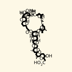 C=C1CC2CC[C@@]34OC5CC(OC6CCC(CC(=O)OC7[C@H](C[C@H]8OC(CC[C@@H]1O2)C[C@@H](C)C8=C)O[C@H]1C[C@H]2O[C@@]8(CC9OC%10(C[C@H](C)C%11OC(CC(=O)O)[C@H](O)CC%11O%10)C[C@H](C)C9O8)C[C@H]2O[C@H]1[C@@H]7C)O[C@@H]65)[C@H](O3)C(O)(OC)C4O